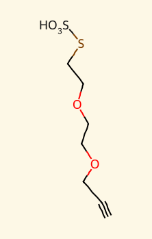 C#CCOCCOCCSS(=O)(=O)O